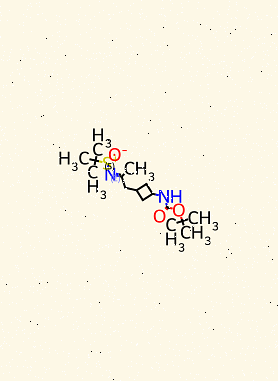 C/C(CC1CC(NC(=O)OC(C)(C)C)C1)=N\[S@+]([O-])C(C)(C)C